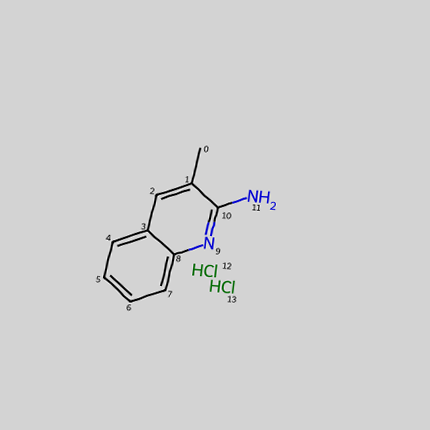 Cc1cc2ccccc2nc1N.Cl.Cl